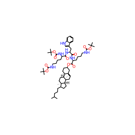 CC(C)CCCC1CC[C@H]2[C@]3(C)CC=C4CC(OC(=O)C(CCCCNC(=O)OC(C)(C)C)NC(=O)C(Cc5c[nH]c6ccccc56)NC(=O)C(CCCCNC(=O)OC(C)(C)C)NC(=O)OC(C)(C)C)CC[C@]4(C)[C@H]3CC[C@]12C